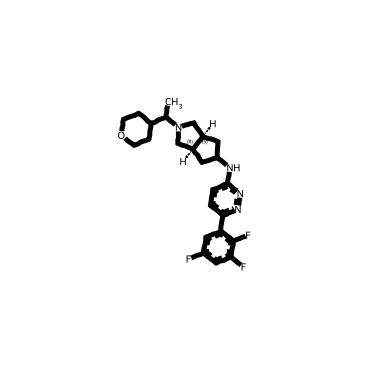 CC(C1CCOCC1)N1C[C@H]2CC(Nc3ccc(-c4cc(F)cc(F)c4F)nn3)C[C@H]2C1